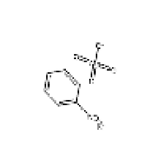 O=[N+]([O-])c1ccccc1.[K+].[O]=[Mn](=[O])(=[O])[O-]